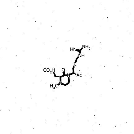 CC(=O)[C@H](CCCNC(=N)N)N1CCN(C)[C@@H](CC(=O)O)C1=O